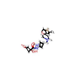 CCc1cc2c(s1)CCO[C@@]21CCN(C[C@H]2C[C@@H](NC(=O)C3(O)CC(O)C3)C2)[C@@H](C)C1